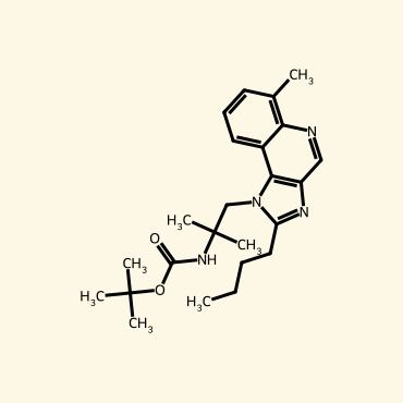 CCCCc1nc2cnc3c(C)cccc3c2n1CC(C)(C)NC(=O)OC(C)(C)C